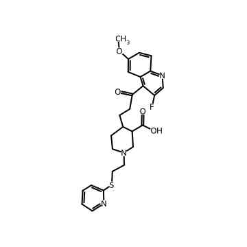 COc1ccc2ncc(F)c(C(=O)CCC3CCN(CCSc4ccccn4)CC3C(=O)O)c2c1